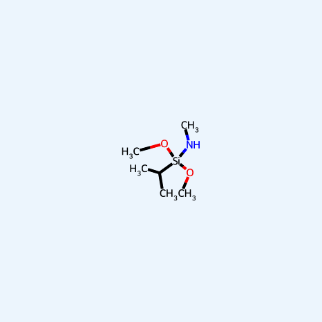 CN[Si](OC)(OC)C(C)C